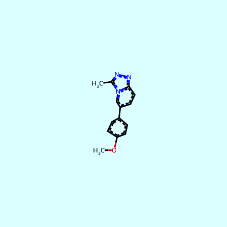 COc1ccc(-c2ccc3nnc(C)n3c2)cc1